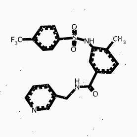 Cc1ccc(C(=O)NCc2cccnc2)cc1NS(=O)(=O)c1ccc(C(F)(F)F)cc1